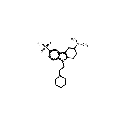 CN(C)C1CCc2c(c3cc(S(C)(=O)=O)ccc3n2CCN2CCCCC2)C1